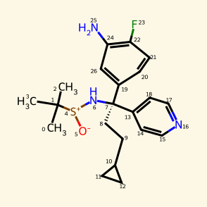 CC(C)(C)[S+]([O-])N[C@](CCC1CC1)(c1ccncc1)c1ccc(F)c(N)c1